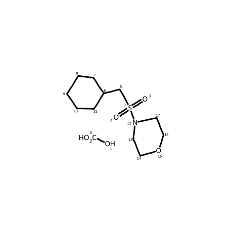 O=C(O)O.O=S(=O)(CC1CCCCC1)N1CCOCC1